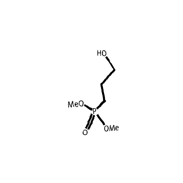 COP(=O)(CCCO)OC